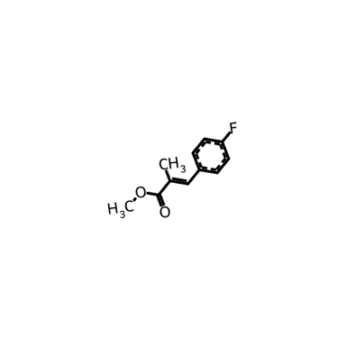 COC(=O)/C(C)=C/c1ccc(F)cc1